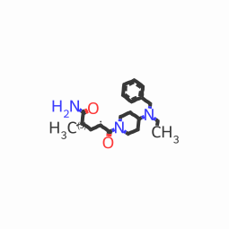 CCN(Cc1ccccc1)C1CCN(C(=O)[CH]C[C@H](C)C(N)=O)CC1